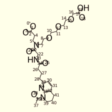 COC(=O)CCN(CCOCCOCCOCC(=O)O)C(=O)CNC(=O)CCCc1ccc2c(n1)N(C(C)=O)CCC2